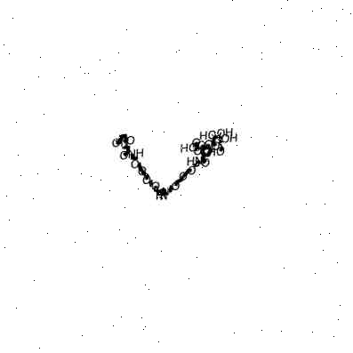 O=C(CCN1C(=O)C=CC1=O)NCCOCCOCCOCCOCc1cn(CCOCCOCCOCCNC(=O)c2ccc(O[C@@H]3O[C@H](CO)[C@H](O)[C@H](O)[C@H]3O)c(OS(=O)(=O)O)c2)nn1